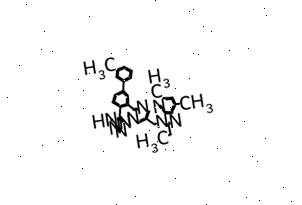 CCc1nc2c(C)cc(C)nc2n1Cc1cnc(-c2cc(-c3cccc(C)c3)ccc2-c2nnn[nH]2)nc1